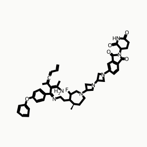 C=CC=C=C(C)C(/C(=N\CCC1C(F)CN(C2CN(C3CN(c4ccc5c(c4)C(=O)N(C4CCC(=O)NC4=O)C5=O)C3)C2)CC[C@H]1C)c1ccc(Oc2ccccc2)cc1)=C(\C)N